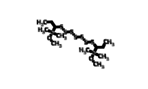 CCC(SSSSSSSC(CC)[Si](C)(C)OC)[Si](C)(C)OC